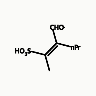 CCCC([C]=O)=C(C)S(=O)(=O)O